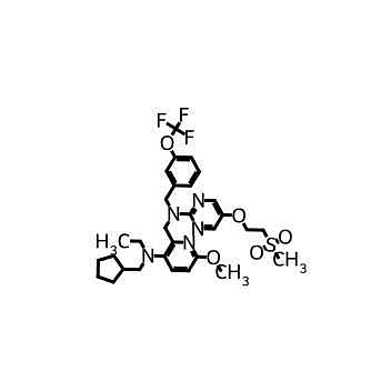 CCN(CC1CCCC1)c1ccc(OC)nc1CN(Cc1cccc(OC(F)(F)F)c1)c1ncc(OCCS(C)(=O)=O)cn1